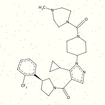 CN1CCN(C(=O)N2CCC(n3ncc(C(=O)N4CC[C@@H](c5ccccc5C(F)(F)F)C4)c3C3CC3)CC2)CC1